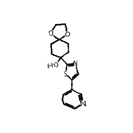 OC1(c2ncc(-c3cccnc3)s2)CCC2(CC1)OCCO2